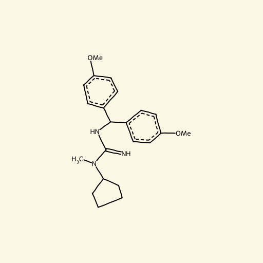 COc1ccc(C(NC(=N)N(C)C2CCCC2)c2ccc(OC)cc2)cc1